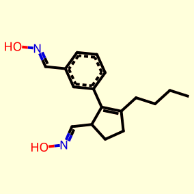 CCCCC1=C(c2cccc(C=NO)c2)C(C=NO)CC1